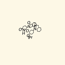 CC(C)O[C@H]1CC[C@@H](N[C@H]2CCCC[C@@H]2Cc2ccc3c(c2)CN(C2CCC(=O)NC2=O)C3=O)CC1